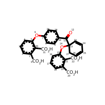 O=C(O)c1cccc(Oc2ccc(C(=O)C3(Oc4cccc(C(=O)O)c4C(=O)O)C=CC=CC3)cc2)c1C(=O)O